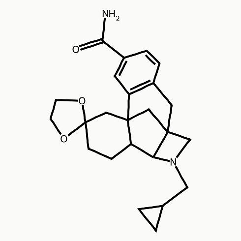 NC(=O)c1ccc2c(c1)C13CC4(CCC1C1N(CC5CC5)CC1(C2)C3)OCCO4